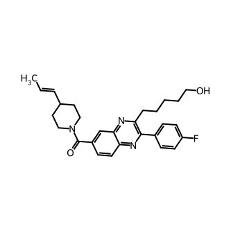 C/C=C/C1CCN(C(=O)c2ccc3nc(-c4ccc(F)cc4)c(CCCCCO)nc3c2)CC1